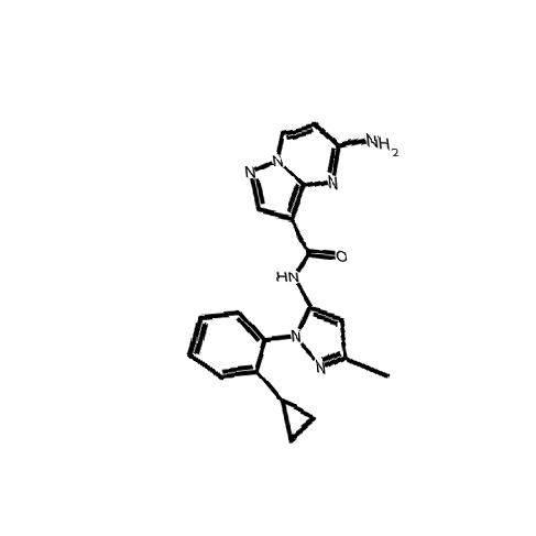 Cc1cc(NC(=O)c2cnn3ccc(N)nc23)n(-c2ccccc2C2CC2)n1